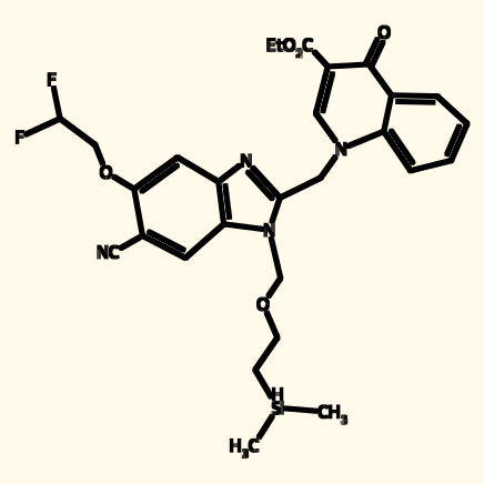 CCOC(=O)c1cn(Cc2nc3cc(OCC(F)F)c(C#N)cc3n2COCC[SiH](C)C)c2ccccc2c1=O